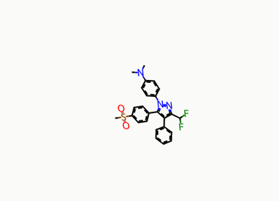 CN(C)c1ccc(-n2nc(C(F)F)c(-c3ccccc3)c2-c2ccc(S(C)(=O)=O)cc2)cc1